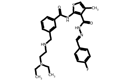 CCN(CC)CCNCc1cccc(C(=O)Nc2scc(C)c2C(=O)NN=Cc2ccc(F)cc2)c1